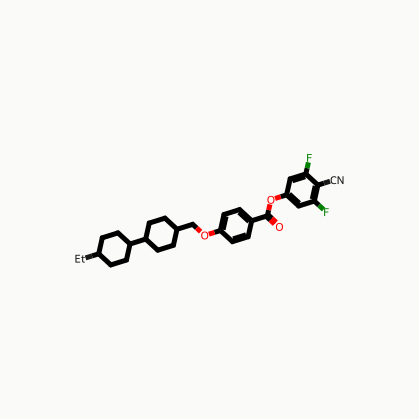 CCC1CCC(C2CCC(COc3ccc(C(=O)Oc4cc(F)c(C#N)c(F)c4)cc3)CC2)CC1